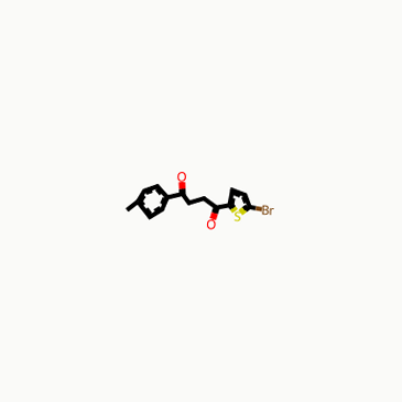 Cc1ccc(C(=O)CCC(=O)c2ccc(Br)s2)cc1